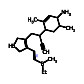 C#CC(CC1=C(/C=C/B(C)CC)CBC1)C1CC(C)C(N)C=C1C